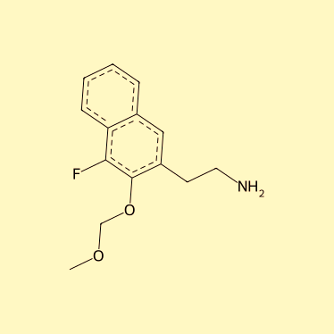 COCOc1c(CCN)cc2ccccc2c1F